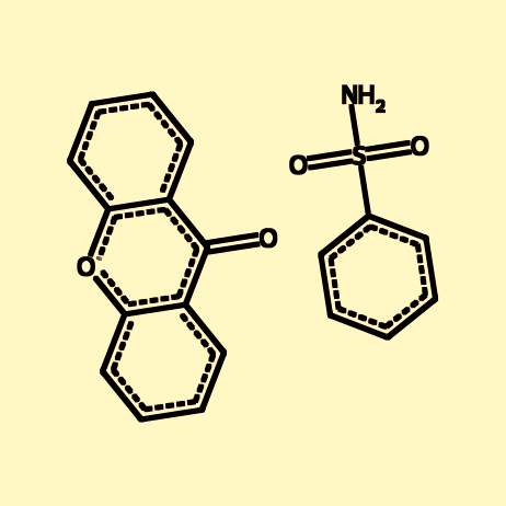 NS(=O)(=O)c1ccccc1.O=c1c2ccccc2oc2ccccc12